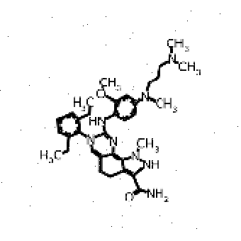 CCc1cccc(CC)c1N1C=C2CCC3=C(C(N)=O)NN(C)C3=C2N=C1Nc1ccc(N(C)CCCN(C)C)cc1OC